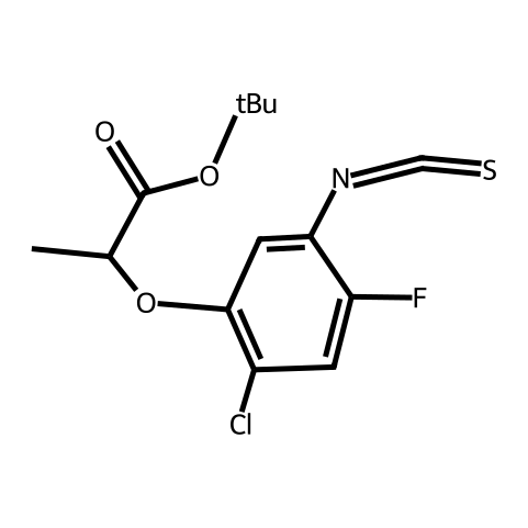 CC(Oc1cc(N=C=S)c(F)cc1Cl)C(=O)OC(C)(C)C